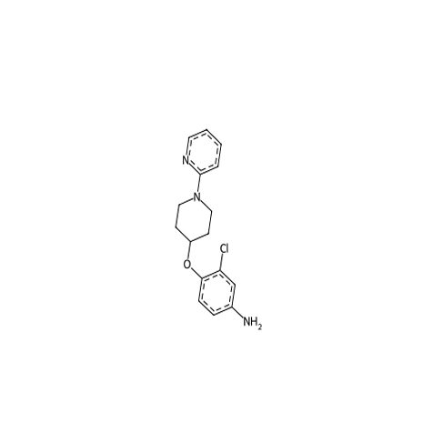 Nc1ccc(OC2CCN(c3ccccn3)CC2)c(Cl)c1